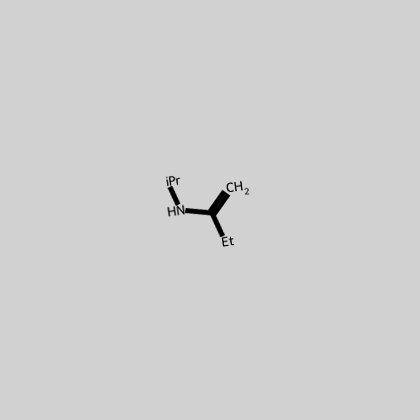 C=C(CC)NC(C)C